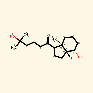 C=C(CCCC(C)(C)O)C1CC[C@H]2[C@@H](O)CCC[C@]12C